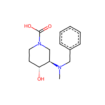 CN(Cc1ccccc1)[C@@H]1CN(C(=O)O)CC[C@H]1O